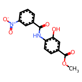 COC(=O)c1ccc(NC(=O)c2cccc([N+](=O)[O-])c2)c(O)c1